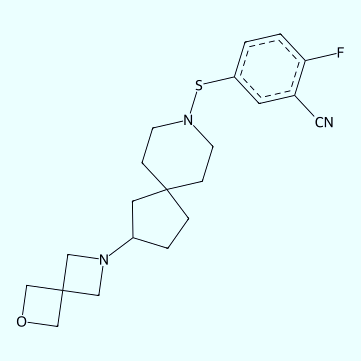 N#Cc1cc(SN2CCC3(CCC(N4CC5(COC5)C4)C3)CC2)ccc1F